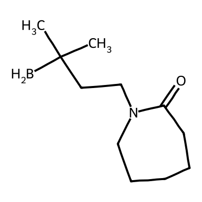 BC(C)(C)CCN1CCCCCC1=O